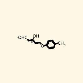 Cc1ccc(OCC[C@@H](O)C[C]=O)cc1